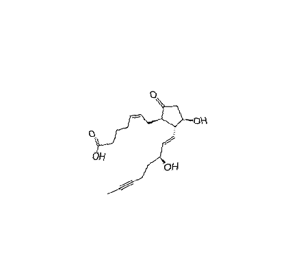 CC#CCC[C@H](O)/C=C/[C@H]1[C@H](O)CC(=O)[C@@H]1C/C=C\CCCC(=O)O